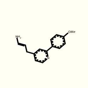 COc1ccc(-c2cc(CC=CN)ccn2)cc1